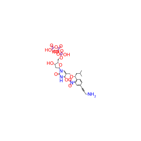 CC(C)C[C@H](OCc1cn([C@H]2C[C@@H](O)[C@@H](COP(=O)(O)OP(=O)(O)OP(=O)(O)O)O2)c(=O)[nH]c1=O)c1ccc(C#CCN)cc1[N+](=O)[O-]